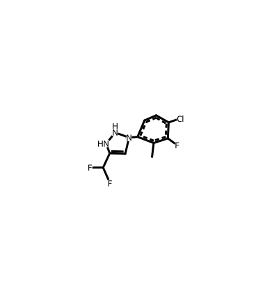 Cc1c(N2C=C(C(F)F)NN2)ccc(Cl)c1F